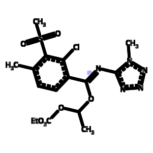 CCOC(=O)OC(C)O/C(=N\c1nnnn1C)c1ccc(C)c(S(C)(=O)=O)c1Cl